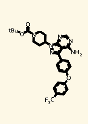 CC(C)(C)OC(=O)N1CCC(n2nc(-c3ccc(Oc4ccc(C(F)(F)F)cc4)cc3)c3c(N)ncnc32)CC1